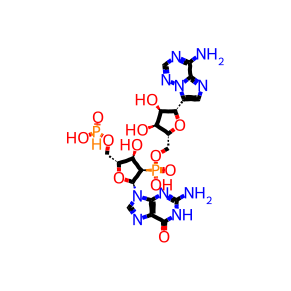 Nc1nc2c(ncn2[C@@H]2O[C@H](CO[PH](=O)O)[C@@H](O)[C@H]2P(=O)(O)OC[C@H]2O[C@@H](c3cnc4c(N)ncnn34)[C@H](O)[C@@H]2O)c(=O)[nH]1